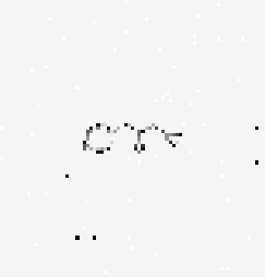 O=C(Cc1ccncc1)CC1CC1